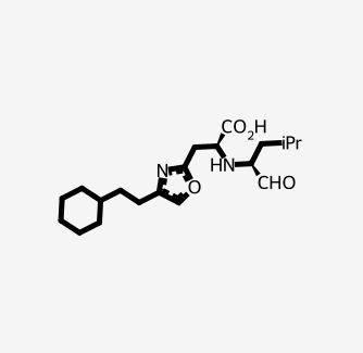 CC(C)C[C@@H](C=O)N[C@@H](Cc1nc(CCC2CCCCC2)co1)C(=O)O